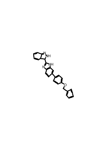 C1=CC2=NNC(c3nc4ccc(-c5ccc(OCc6ccccc6)cc5)cc4[nH]3)C2C=C1